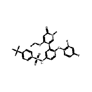 CCOc1cc(=O)n(C)cc1-c1cc(NS(=O)(=O)c2ccc(C(C)(C)C)cc2)ccc1Oc1ccc(F)cc1F